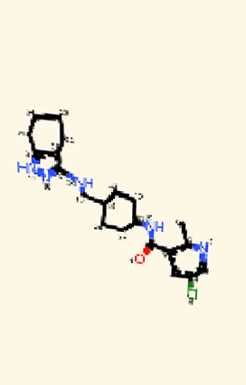 Cc1ncc(Cl)cc1C(=O)NC1CCC(CNc2n[nH]c3c2CCCC3)CC1